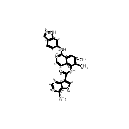 Cc1ccc2c(Nc3ccc4cn[nH]c4c3)nccc2c1NC(=O)c1csc2c(N)ncnc12.Cl